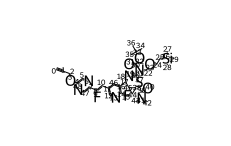 C#CCOc1cnc(/C(F)=C/c2cnc(F)c([C@@]3(C)N=C(N(COCC[Si](C)(C)C)C(=O)OC(C)(C)C)S[C@@]4(C(=O)N(C)C)CC43)c2)cn1